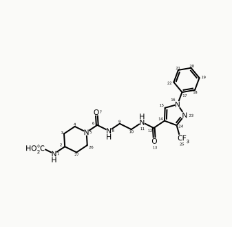 O=C(O)NC1CCN(C(=O)NCCNC(=O)c2cn(-c3ccccc3)nc2C(F)(F)F)CC1